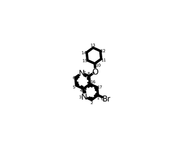 Brc1cnc2ccnc(OC3CCCCC3)c2c1